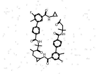 CC(=O)CC(C)(C)NC(=O)c1ccc(-c2cc(C(=O)NC3CC3CC(C)C(=O)C(C)(C)NC(=O)c3ccc(-c4cc(C(=O)NC5CC5)cc(F)c4C)cc3)cc(F)c2C)cc1